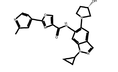 Cc1cc(-c2nc(C(=O)Nc3cc4c(cnn4C4CC4)cc3N3CC[C@H](O)C3)co2)ccn1